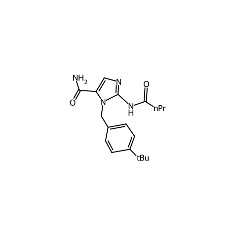 CCCC(=O)Nc1ncc(C(N)=O)n1Cc1ccc(C(C)(C)C)cc1